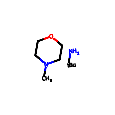 CC(C)(C)N.CN1CCOCC1